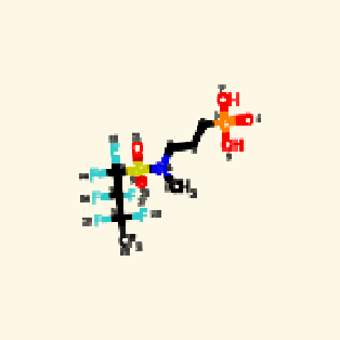 CN(CCCP(=O)(O)O)S(=O)(=O)C(F)(F)C(F)(F)C(F)(F)C(F)(F)F